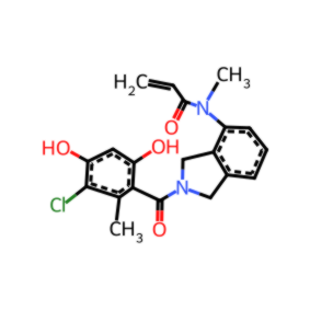 C=CC(=O)N(C)c1cccc2c1CN(C(=O)c1c(O)cc(O)c(Cl)c1C)C2